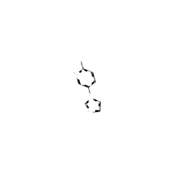 CCc1ccc(-n2ccnc2)cn1